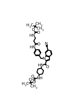 CC(C)(C)OC(=O)NCCC(=O)Nc1ccc(Cn2c(C(=O)NC3CCC(NC(=O)OC(C)(C)C)CC3)cc3ccc(C#N)cc32)cc1